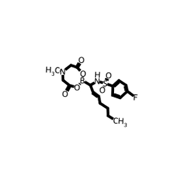 CCCCC=CC(NS(=O)(=O)c1ccc(F)cc1)B1OC(=O)CN(C)CC(=O)O1